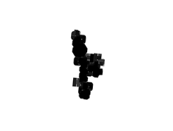 COC(=O)Cc1ccc(NC(=O)[C@H](CCCCNC(=O)OC(C)(C)C)NC(=O)[C@@H](N)C(C)C)cc1